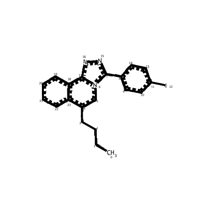 CCCCc1cn2c(-c3ccc(I)cc3)nnc2c2ccccc12